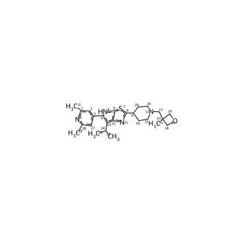 Cc1cc(-c2[nH]c3sc(C4CCN(CC5(C)COC5)CC4)nc3c2C(C)C)cc(C)n1